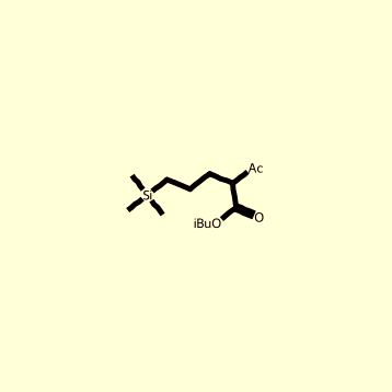 CC(=O)C(CCC[Si](C)(C)C)C(=O)OCC(C)C